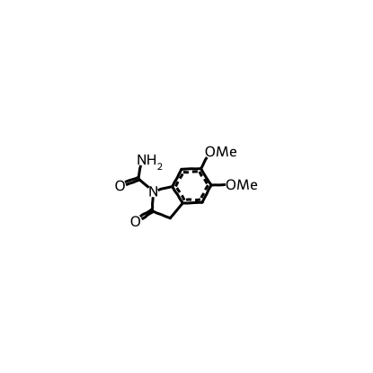 COc1cc2c(cc1OC)N(C(N)=O)C(=O)C2